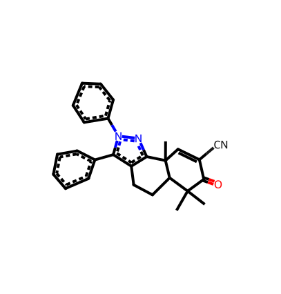 CC1(C)C(=O)C(C#N)=CC2(C)c3nn(-c4ccccc4)c(-c4ccccc4)c3CCC12